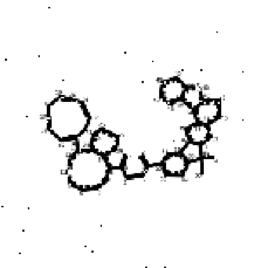 C=C(/C=C\C(=C)c1ccccccc(/C2=C/C=C\C/C=C\C=C/C2)c2ccccc12)c1ccc2c(c1)-c1cc3c(ccc4sc5ccccc5c43)cc1C2(C)C